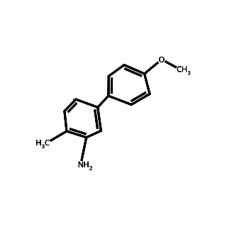 COc1ccc(-c2[c]cc(C)c(N)c2)cc1